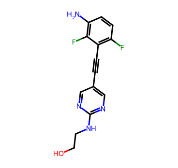 Nc1ccc(F)c(C#Cc2cnc(NCCO)nc2)c1F